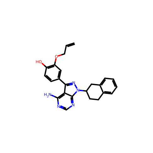 C=CCOc1cc(-c2nn(C3CCc4ccccc4C3)c3ncnc(N)c23)ccc1O